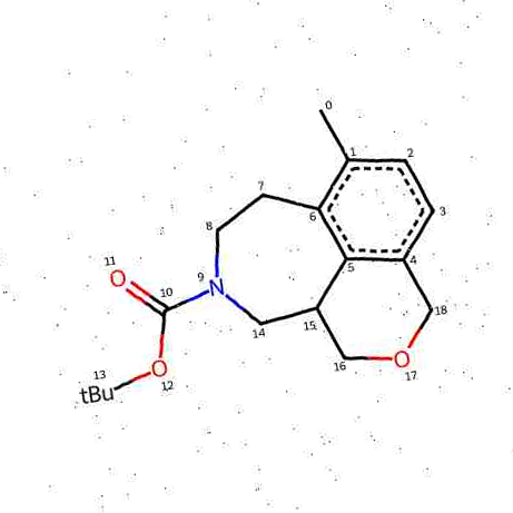 Cc1ccc2c3c1CCN(C(=O)OC(C)(C)C)CC3COC2